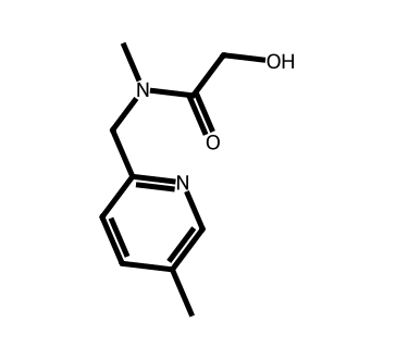 Cc1ccc(CN(C)C(=O)CO)nc1